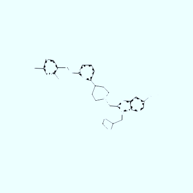 CC(=O)Nc1cnc2c(c1)nc(CN1CCC(c3cccc(OCc4ccc(Cl)cc4F)n3)CC1)n2CC1CCO1